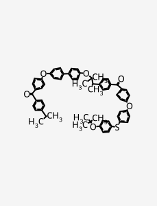 CC(C)c1ccc(C(=O)c2ccc(Oc3ccc(-c4ccc(OC(C)(C)C(C)c5ccc(C(=O)c6ccc(Oc7ccc(Sc8ccc(OC(C)(C)C)cc8)cc7)cc6)cc5)cc4)cc3)cc2)cc1